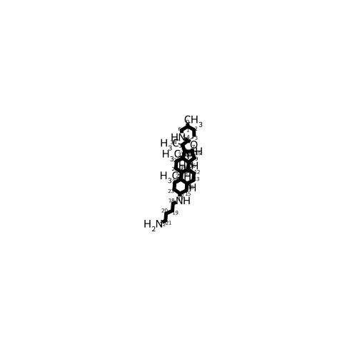 CC1CC[C@]2(NC1)O[C@H]1C[C@H]3[C@@H]4CC[C@H]5CC(NCCCCN)CC[C@]5(C)[C@H]4CC[C@]3(C)[C@H]1[C@@H]2C